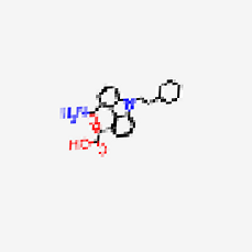 NC(=O)c1cccc2c1c1c(C(=O)C(=O)O)cccc1n2CCC1CCCCC1